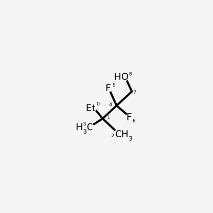 CCC(C)(C)C(F)(F)CO